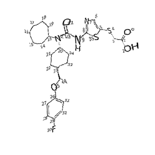 O=C(O)CSc1cnc(NC(=O)N(C2CCCCCC2)[C@H]2CC[C@H](COc3ccc(F)cc3)CC2)s1